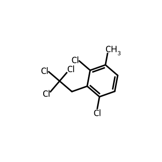 Cc1ccc(Cl)c(CC(Cl)(Cl)Cl)c1Cl